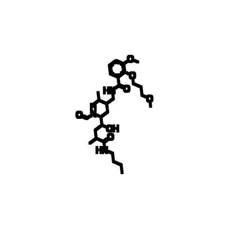 CCCCNC(=O)C(C)CC(O)C(CC(CNC(=O)c1cccc(OC)c1OCCCOC)C(C)C)NC=O